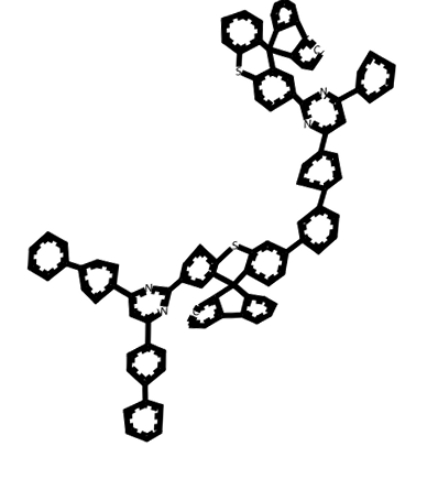 c1ccc(-c2ccc(-c3cc(-c4ccc(-c5ccccc5)cc4)nc(-c4ccc5c(c4)C4(c6ccc(-c7cccc(-c8ccc(-c9cc(-c%10ccccc%10)nc(-c%10ccc%11c(c%10)C%10(c%12ccccc%12S%11)c%11ccccc%11-c%11ccccc%11%10)n9)cc8)c7)cc6S5)c5ccccc5-c5ccccc54)n3)cc2)cc1